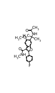 CNC(=O)c1c(-c2ccc(F)cc2)oc2cc(C(C)(C)NC(C)=O)c(OC)cc12